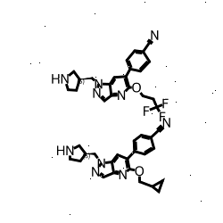 N#Cc1ccc(-c2cc3c(cnn3C[C@H]3CCNC3)nc2OCC2CC2)cc1.N#Cc1ccc(-c2cc3c(cnn3C[C@H]3CCNC3)nc2OCCC(F)(F)F)cc1